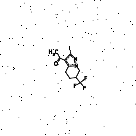 CC(=O)c1c(I)nn2c1CCC(C(F)(F)F)C2